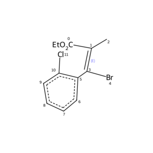 CCOC(=O)/C(C)=C(/Br)c1ccccc1Cl